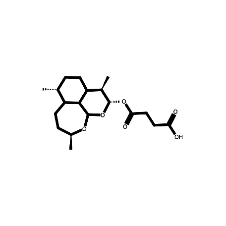 C[C@@H]1CCC2C3C(O[C@@H](OC(=O)CCC(=O)O)[C@@H]2C)O[C@@H](C)CCC31